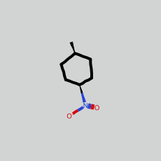 C[C@H]1CC[C@@H]([N+](=O)[O-])CC1